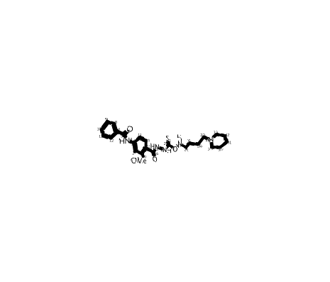 COc1cc(NC(=O)c2ccccc2)ccc1C(=O)NNC(=S)ONCCCCN1CCCCC1